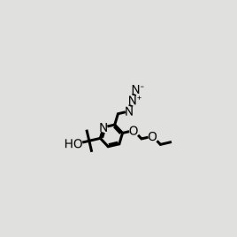 CCOCOc1ccc(C(C)(C)O)nc1CN=[N+]=[N-]